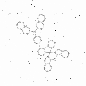 c1ccc2c(c1)-c1c(-c3ccc(N(c4ccc5ccccc5c4)c4ccc5ccccc5c4)cc3)cccc1C21c2ccc3ccccc3c2Oc2c1ccc1ccccc21